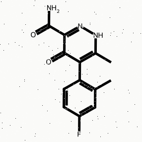 Cc1cc(F)ccc1-c1c(C)[nH]nc(C(N)=O)c1=O